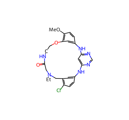 CCN1CC(=O)NCCOc2cc(ccc2OC)Nc2cc(ncn2)Nc2ccc(Cl)c(c2)C1